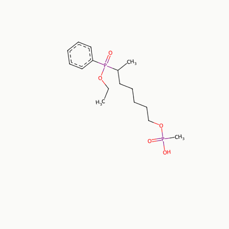 CCOP(=O)(c1ccccc1)C(C)CCCCCOP(C)(=O)O